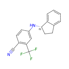 N#Cc1ccc(N[C@H]2CCc3ccccc32)cc1C(F)(F)F